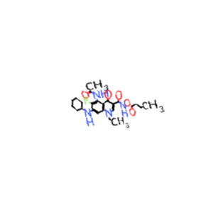 CCCC(=O)ONC(=O)c1cn(CC)c2cc(NC3CCCCC3)c(F)c(NC(C)=O)c2c1=O